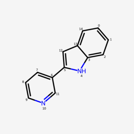 [c]1ccc2[nH]c(-c3cccnc3)cc2c1